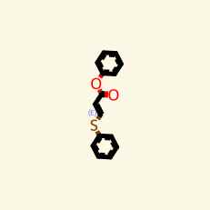 O=C(/C=C/Sc1ccccc1)Oc1ccccc1